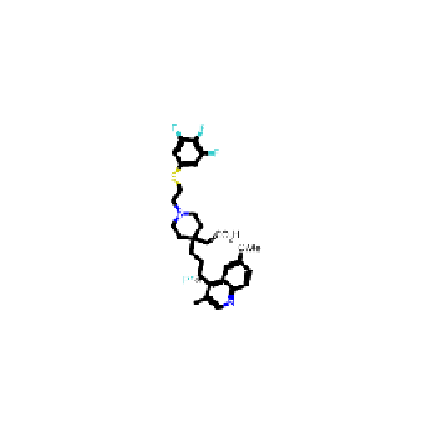 COc1ccc2ncc(C)c([C@H](F)CCC3(CC(=O)O)CCN(CCSc4cc(F)c(F)c(F)c4)CC3)c2c1